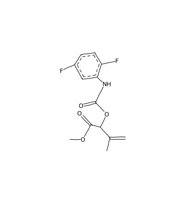 C=C(C)C(OC(=O)Nc1cc(F)ccc1F)C(=O)OC